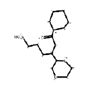 O=C(CC(CCCS(=O)(=O)O)C1COCCS1)C1CCCCC1